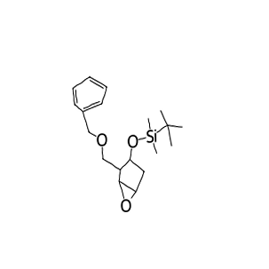 CC(C)(C)[Si](C)(C)OC1CC2OC2C1COCc1ccccc1